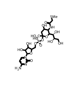 CSCC(=O)NC1C(O)CC(OP(=O)(O)OCC2OC(n3ccc(N)nc3=O)C(O)C2O)(C(=O)O)OC1[C@H](O)[C@H](O)CO